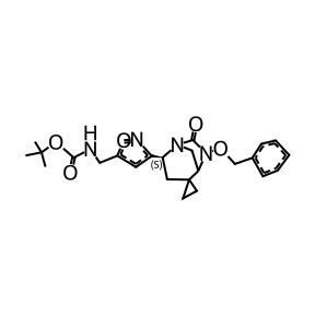 CC(C)(C)OC(=O)NCc1cc([C@@H]2CC3(CC3)C3CN2C(=O)N3OCc2ccccc2)no1